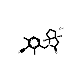 Cc1ccc(CN2C(=O)C[C@@H]3[C@H]2CC[C@@H]3O)c(C)c1C#N